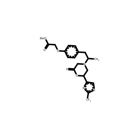 COC(=O)COc1ccc(CC(C)N2CC(=O)OC(c3csc(C(F)(F)F)n3)C2)cc1